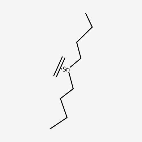 C=C.CCC[CH2][Sn][CH2]CCC